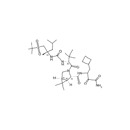 CC(C)C[C@@](C)(CS(=O)(=O)C(C)(C)C)NC(=O)N[C@@H](C(=O)N1C[C@H]2[C@@H]([C@H]1C(=O)NC(CC1CCC1)C(=O)C(N)=O)C2(C)C)C(C)(C)C